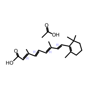 CC(=O)O.CC1=C(/C=C/C(C)=C/C=C/C(C)=C/C(=O)O)C(C)(C)CCC1